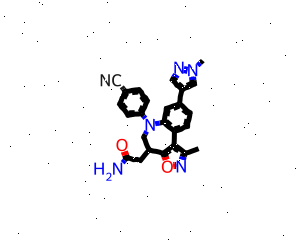 Cc1noc2c1-c1ccc(-c3cnn(C)c3)cc1N(c1ccc(C#N)cc1)CC2CC(N)=O